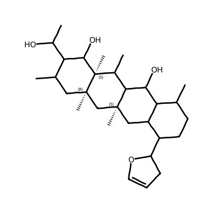 CC(O)C1C(C)C[C@]2(C)C[C@]3(C)CC4C(C5CC=CO5)CCC(C)C4C(O)C3C(C)[C@]2(C)C1O